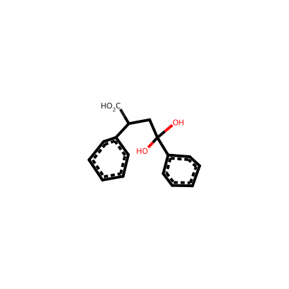 O=C(O)C(CC(O)(O)c1ccccc1)c1ccccc1